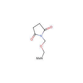 CNCOCN1C(=O)CCC1=O